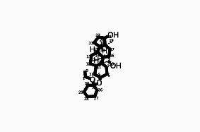 CCOC1(OC2CC[C@@]3(CO)C(CC[C@@H]4[C@H]3CC[C@]3(C)C(O)CC[C@@H]43)C2)CCCCC1